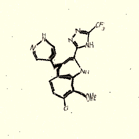 COc1c(Cl)ccc2c(-c3cn[nH]c3)c(-c3nnc(C(F)(F)F)[nH]3)[nH]c12